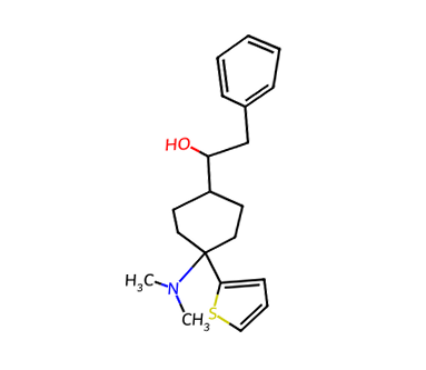 CN(C)C1(c2cccs2)CCC(C(O)Cc2ccccc2)CC1